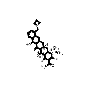 CN(C)[C@@H]1C(O)=C(C(N)=O)C(=O)[C@@]2(O)C(O)=C3C(=O)c4c(cc5c(CN6CCC6)cccc5c4O)C[C@H]3C[C@@H]12